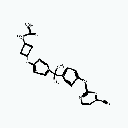 CC(C)(c1ccc(Oc2nccc(C#N)n2)cc1)c1ccc(O[C@H]2C[C@H](NC(=O)O)C2)cc1